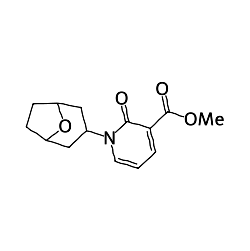 COC(=O)c1cccn(C2CC3CCC(C2)O3)c1=O